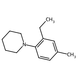 CCc1cc(C)ccc1N1CCCCC1